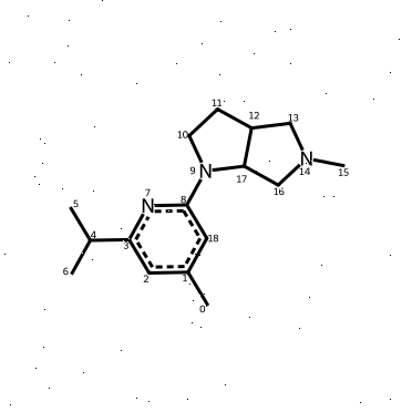 Cc1cc(C(C)C)nc(N2CCC3CN(C)CC32)c1